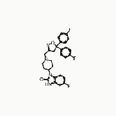 O=c1[nH]c2cc(F)ccc2n1C1CCN(CC2=NOC(c3ccc(F)cc3)(c3ccc(F)cc3)C2)CC1